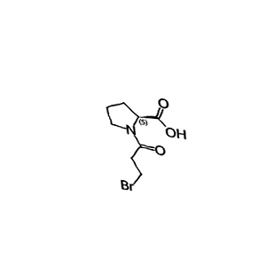 O=C(O)[C@@H]1CCCN1C(=O)CCBr